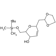 CC(C)(C)[Si](C)(C)OCC1OC(CC2OCCO2)C=CC1O